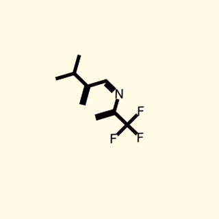 C=C(/C=N\C(=C)C(F)(F)F)C(C)C